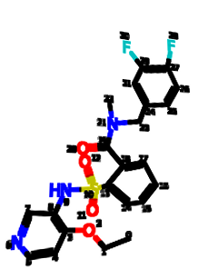 CCOc1ccncc1NS(=O)(=O)c1ccccc1C(=O)N(C)Cc1ccc(F)c(F)c1